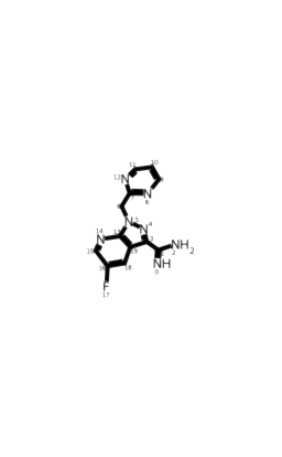 N=C(N)c1nn(Cc2ncccn2)c2ncc(F)cc12